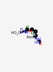 COc1nc(-c2cccc(-c3cccc(Oc4cc(Cl)cc5c4ncn5CCNCC(=O)O)c3Cl)c2Cl)ccc1CNC[C@@H]1CCC(=O)N1